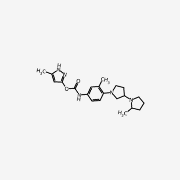 Cc1cc(OC(=O)Nc2ccc(N3CCC(N4CCCC4C)C3)c(C)c2)n[nH]1